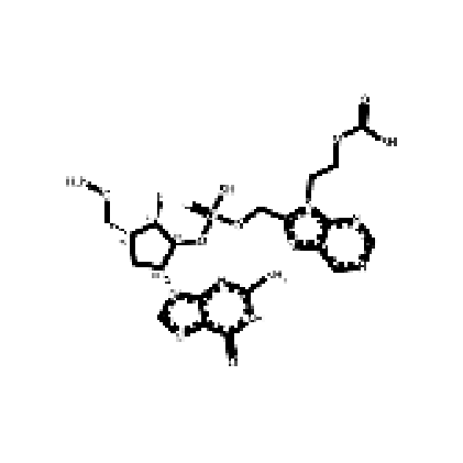 Nc1nc2c(ncn2[C@@H]2C[C@H](COP)[C@@H](F)[C@H]2OP(=O)(S)OCc2nc3cncnc3n2CCOC(=O)S)c(=O)[nH]1